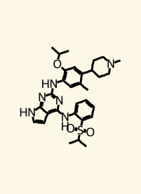 Cc1cc(Nc2nc(Nc3ccccc3S(=O)(=O)C(C)C)c3cc[nH]c3n2)c(OC(C)C)cc1C1CCN(C)CC1